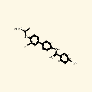 CCCCCCC(C)Oc1ccc(-c2ccc(OC(=O)c3ccc(CCCC)cc3)cc2)cc1F